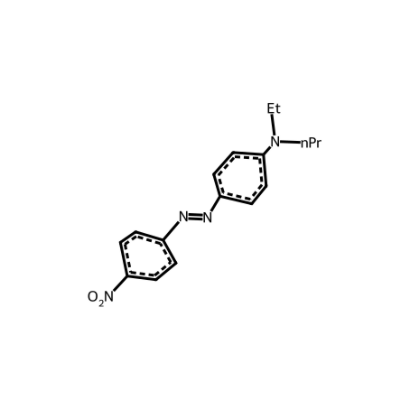 CCCN(CC)c1ccc(N=Nc2ccc([N+](=O)[O-])cc2)cc1